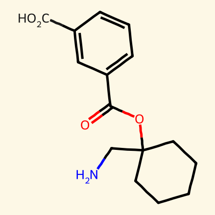 NCC1(OC(=O)c2cccc(C(=O)O)c2)CCCCC1